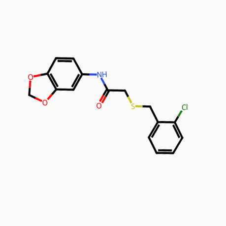 O=C(CSCc1ccccc1Cl)Nc1ccc2c(c1)OCO2